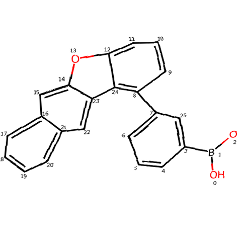 OB(O)c1cccc(-c2cccc3oc4cc5ccccc5cc4c23)c1